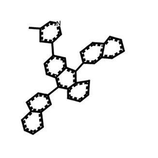 Cc1cncc(-c2ccc3c(-c4ccc5ccccc5c4)c4ccccc4c(-c4ccc5ccccc5c4)c3c2)c1